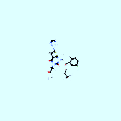 COc1ccc(F)cc1[C@H](Cn1c(=O)n(C(C)(C)C(=O)NC(C)C)c(=O)c2c(C)c(-n3nccn3)sc21)OCCC(C)(C)O